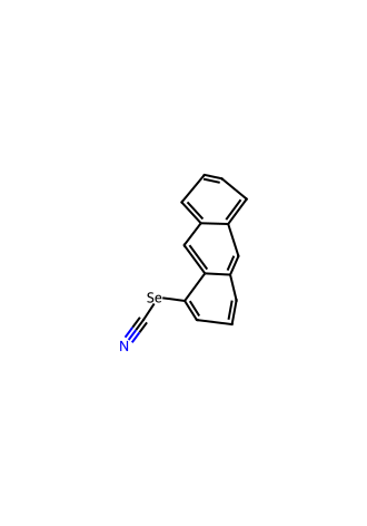 N#C[Se]c1cccc2cc3ccccc3cc12